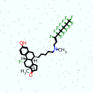 CN(CC=C(F)C(F)(F)C(F)(F)C(F)(F)C(F)(F)C(F)(F)F)CCCCC[C@@H]1Cc2cc(O)ccc2[C@@H]2[C@@H]1[C@@H]1CCC(=O)[C@@]1(C)C[C@@H]2F